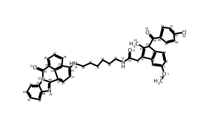 COc1ccc2c(c1)C(CC(=O)NCCCCCCNc1ccc3c4c1cccc4c(=O)n1c4ccccc4nc31)=C(C)C2C(=O)c1ccc(Cl)cc1